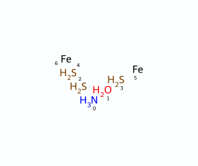 N.O.S.S.S.[Fe].[Fe]